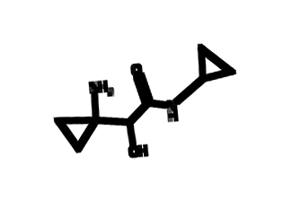 NC1(C(O)C(=O)NC2CC2)CC1